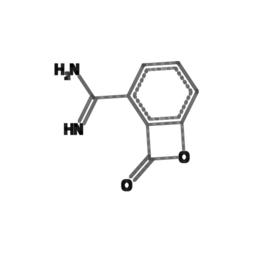 N=C(N)c1cccc2c1C(=O)O2